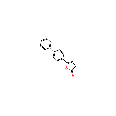 O=C1CC=C(c2ccc(-c3ccccc3)cc2)O1